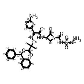 CC(C)(ON=C(C(=O)NC1CN(C(=O)NS(=O)(=O)NN)C1=O)c1csc(N)n1)C(=O)OC(c1ccccc1)c1ccccc1